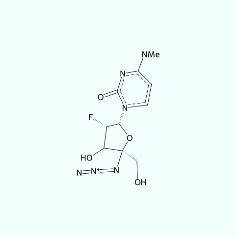 CNc1ccn([C@@H]2O[C@@](CO)(N=[N+]=[N-])C(O)[C@@H]2F)c(=O)n1